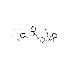 COc1cc(C(=O)N(C)CC(CCN2CCC(Nc3nc4ccccc4n3CCOC(F)(F)F)CC2)c2ccccc2)cc(OC)c1OC